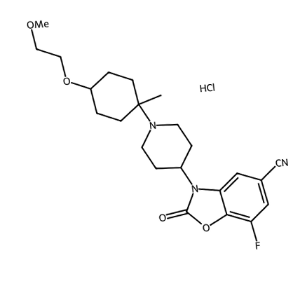 COCCOC1CCC(C)(N2CCC(n3c(=O)oc4c(F)cc(C#N)cc43)CC2)CC1.Cl